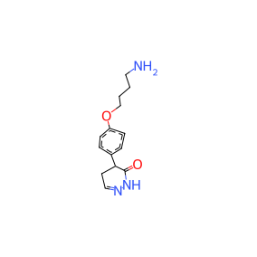 NCCCCOc1ccc(C2CC=NNC2=O)cc1